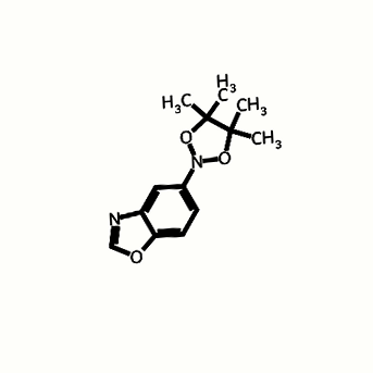 CC1(C)ON(c2ccc3ocnc3c2)OC1(C)C